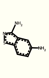 Nc1ccc2snc(N)c2c1